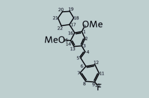 COc1cc(C=Cc2ccc(F)cc2)cc(OC)c1C1CCCCC1